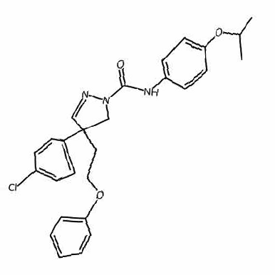 CC(C)Oc1ccc(NC(=O)N2CC(CCOc3ccccc3)(c3ccc(Cl)cc3)C=N2)cc1